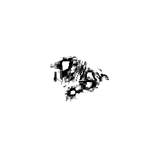 CCCN1CCC(NC(=O)C(N)Cc2c(C)cc(C)cc2C)c2cc(Cc3ccccc3)ccc21